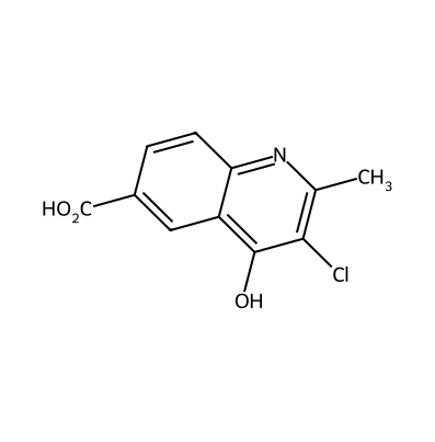 Cc1nc2ccc(C(=O)O)cc2c(O)c1Cl